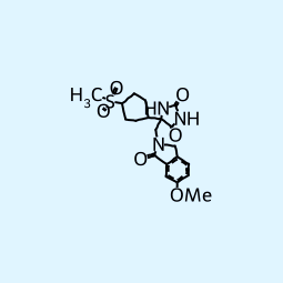 COc1ccc2c(c1)C(=O)N(CC1(C3CCC(S(C)(=O)=O)CC3)NC(=O)NC1=O)C2